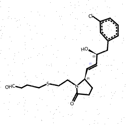 O=CCCCSCCN1C(=O)CC[C@@H]1/C=C/[C@@H](O)Cc1cccc(Cl)c1